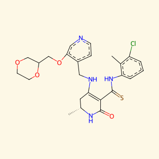 Cc1c(Cl)cccc1NC(=S)C1=C(NCc2ccncc2OCC2COCCO2)C[C@@H](C)NC1=O